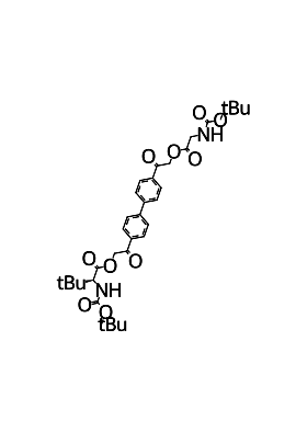 CC(C)(C)OC(=O)NCC(=O)OCC(=O)c1ccc(-c2ccc(C(=O)COC(=O)[C@@H](NC(=O)OC(C)(C)C)C(C)(C)C)cc2)cc1